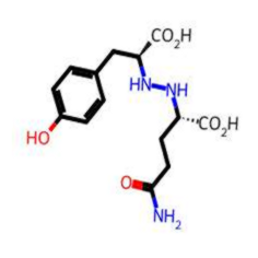 NC(=O)CC[C@H](NN[C@@H](Cc1ccc(O)cc1)C(=O)O)C(=O)O